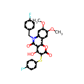 COc1cc2c3oc(=O)c(Sc4ccc(F)cc4)c(O)c3c(=O)n(Cc3ccc(F)cc3)c2cc1OC